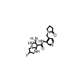 NC1NN2CC(F)CNC2C1C(=O)Nc1cnccc1CN1CCCC1=O